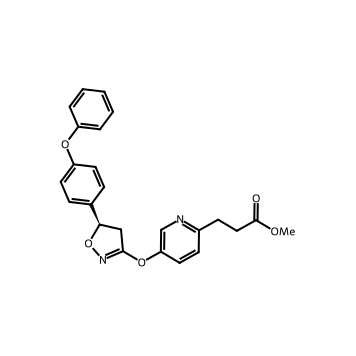 COC(=O)CCc1ccc(OC2=NO[C@@H](c3ccc(Oc4ccccc4)cc3)C2)cn1